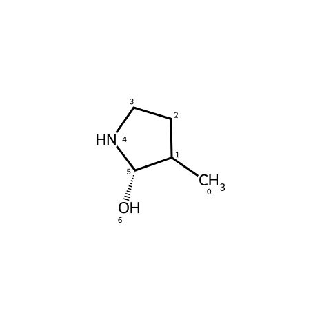 CC1CCN[C@H]1O